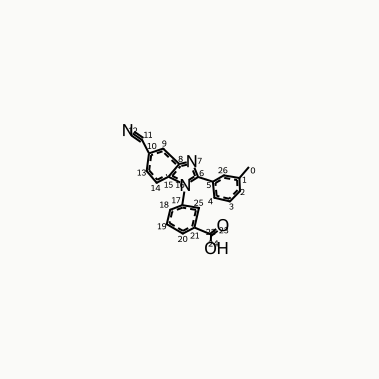 Cc1cccc(-c2nc3cc(C#N)ccc3n2-c2cccc(C(=O)O)c2)c1